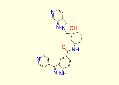 Cc1cc(-c2n[nH]c3ccc(C(=O)NC4CCCC(O)(Cn5cc6ccncc6n5)C4)cc23)ccn1